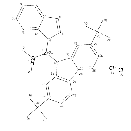 C[SiH](C)[Zr+2]([CH]1C=Cc2ccccc21)[CH]1c2cc(C(C)(C)C)ccc2-c2ccc(C(C)(C)C)cc21.[Cl-].[Cl-]